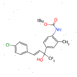 Cc1cc(C(O)(C=Cc2ccc(Cl)cc2)C(F)(F)F)ccc1NC(=O)OC(C)(C)C